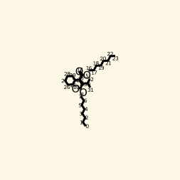 CCCCCCCCOC(=O)C(=C(C(=O)OCCCCCCCC)C1CCCCC1)C(C)C